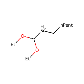 CCCCCC[SiH2]C(OCC)OCC